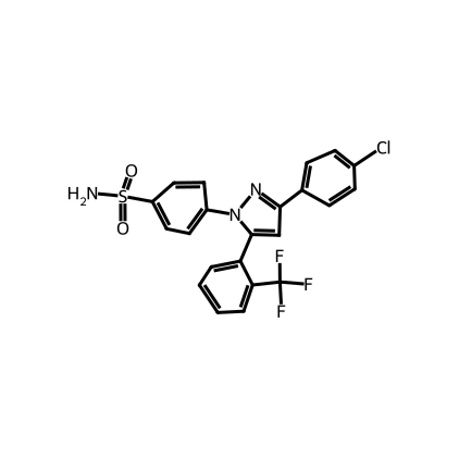 NS(=O)(=O)c1ccc(-n2nc(-c3ccc(Cl)cc3)cc2-c2ccccc2C(F)(F)F)cc1